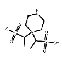 CC([N+]1(C(C)S(=O)(=O)O)CCNCC1)S(=O)(=O)O